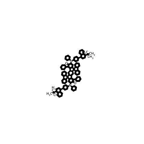 CC(C)(C)c1ccc(-c2ccc(N(c3ccccc3)c3cc4c(c5c3oc3ccccc35)C3=CC5C(C=C3C43c4ccccc4-c4ccccc43)c3c(cc(N(c4ccccc4)c4ccc(-c6ccc(C(C)(C)C)c7ccccc67)cc4)c4oc6ccccc6c34)C53c4ccccc4-c4ccccc43)cc2)c2ccccc12